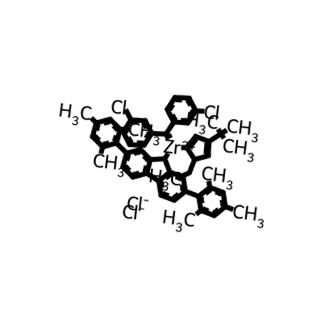 CCC1C=C(C(C)(C)C)C=[C]1[Zr+2](=[C](c1cccc(Cl)c1)c1cccc(Cl)c1)[CH]1c2cc(-c3c(C)cc(C)cc3C)ccc2-c2ccc(-c3c(C)cc(C)cc3C)cc21.[Cl-].[Cl-]